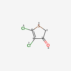 O=C1CSC(Cl)=C1Cl